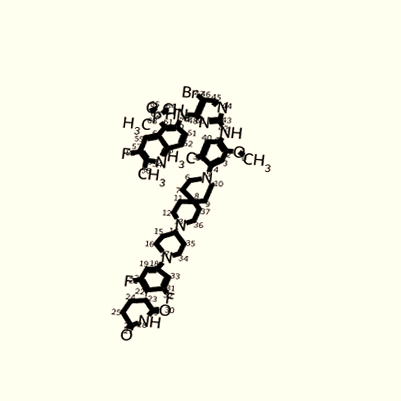 COc1cc(N2CCC3(CC2)CCN(C2CCN(c4cc(F)c([C@H]5CCC(=O)NC5=O)c(F)c4)CC2)CC3)c(C)cc1Nc1ncc(Br)c(Nc2ccc3nc(C)c(F)cc3c2P(C)(C)=O)n1